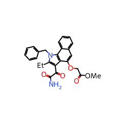 CCc1c(C(=O)C(N)=O)c2c(OCC(=O)OC)cc3ccccc3c2n1Cc1ccccc1